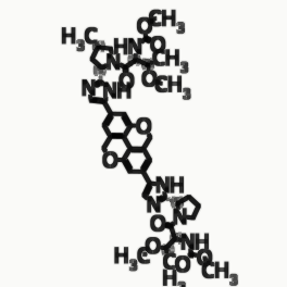 COC(=O)N[C@H](C(=O)N1CCC[C@H]1c1ncc(-c2cc3c4c(c2)OCc2cc(-c5cnc([C@@H]6C[C@H](C)CN6C(=O)[C@@H](NC(=O)OC)[C@@H](C)OC)[nH]5)cc(c2-4)OC3)[nH]1)[C@@H](C)OC